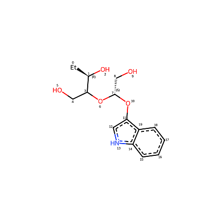 CC[C@@H](O)C(CO)O[C@H](CO)Oc1c[nH]c2ccccc12